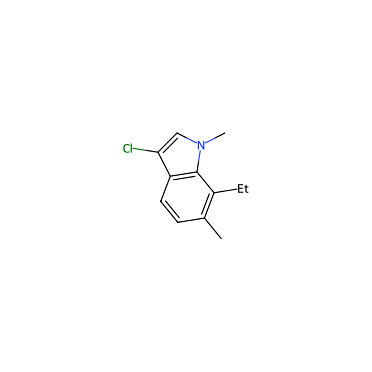 CCc1c(C)ccc2c(Cl)cn(C)c12